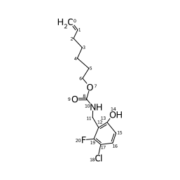 C=CCCCCCOC(=O)NCc1c(O)ccc(Cl)c1F